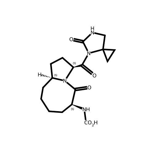 O=C(O)N[C@H]1CCCC[C@H]2CC[C@@H](C(=O)N3C(=O)NCC34CC4)N2C1=O